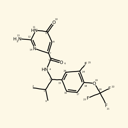 CC(C)C(NC(=O)c1cc(=O)[nH]c(N)n1)c1ccc(OC(F)(F)F)c(F)c1